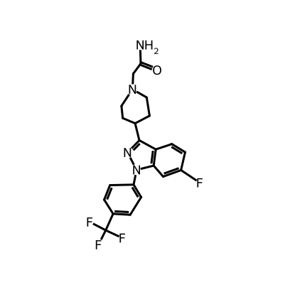 NC(=O)CN1CCC(c2nn(-c3ccc(C(F)(F)F)cc3)c3cc(F)ccc23)CC1